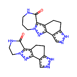 O=C1NCCCn2nc3c(c21)CCc1[nH]ncc1-3.O=C1NCCn2nc3c(c21)CCc1[nH]ncc1-3